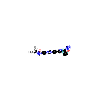 CCC(CC)n1ncn(-c2ccc(N3CCN(c4ccc(-c5ccc(C(F)(F)C(O)(Cn6cnnn6)c6ccccc6F)nc5)cc4)CC3)cc2)c1=O